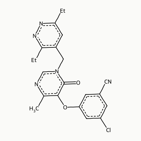 CCc1cc(Cn2cnc(C)c(Oc3cc(Cl)cc(C#N)c3)c2=O)c(CC)nn1